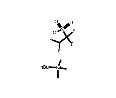 CCCC[N+](C)(C)C.O=S(=O)([O-])C(F)(F)C(F)F